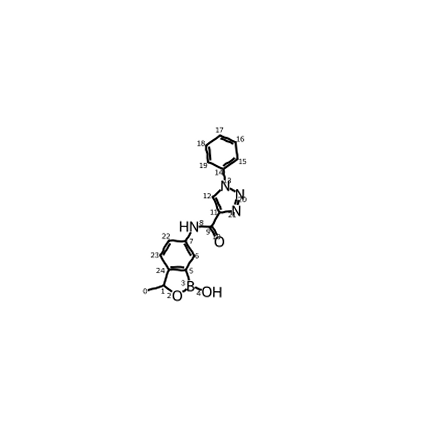 CC1OB(O)c2cc(NC(=O)c3cn(-c4ccccc4)nn3)ccc21